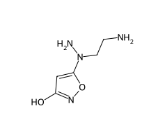 NCCN(N)c1cc(O)no1